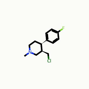 CN1CC[C@H](c2ccc(F)cc2)[C@@H](CCl)C1